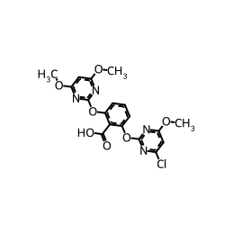 COc1cc(Cl)nc(Oc2cccc(Oc3nc(OC)cc(OC)n3)c2C(=O)O)n1